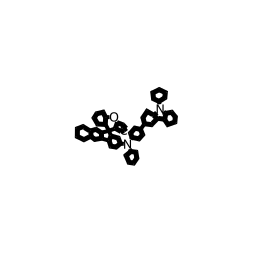 c1ccc(N(c2ccc(-c3ccc4c(c3)c3ccccc3n4-c3ccccc3)cc2)c2ccc3c(c2)C2(c4ccccc4Oc4ccccc42)c2cc4ccccc4cc2-3)cc1